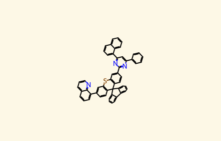 c1ccc(-c2cc(-c3cccc4ccccc34)nc(-c3ccc4c(c3)Sc3cc(-c5cccc6cccnc56)ccc3C43c4ccccc4-c4ccccc43)n2)cc1